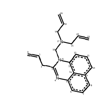 C=CCC1=Nc2cccc3cccc(c23)N1CN(CC=C)CC=C